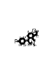 CN1Cc2c(ccc3occc23)[C@@H](c2ccc(F)cc2)C1